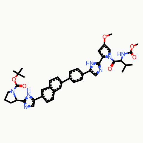 COC(=O)NC(C(=O)n1cc(OC)cc1-c1ncc(-c2ccc(-c3ccc4cc(-c5cnc(C6CCCN6C(=O)OC(C)(C)C)[nH]5)ccc4c3)cc2)[nH]1)C(C)C